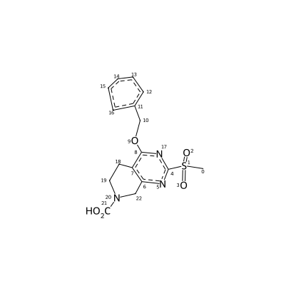 CS(=O)(=O)c1nc2c(c(OCc3ccccc3)n1)CCN(C(=O)O)C2